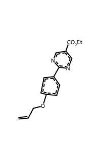 C=CCOc1ccc(-c2ncc(C(=O)OCC)cn2)cc1